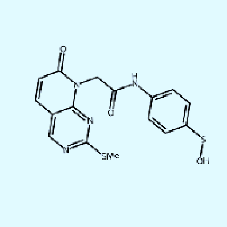 CSc1ncc2ccc(=O)n(CC(=O)Nc3ccc(SO)cc3)c2n1